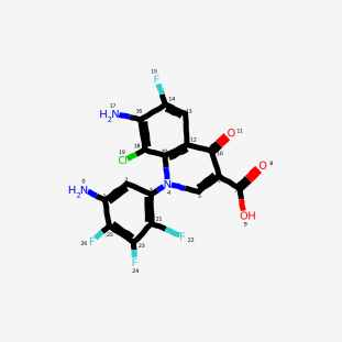 Nc1cc(-n2cc(C(=O)O)c(=O)c3cc(F)c(N)c(Cl)c32)c(F)c(F)c1F